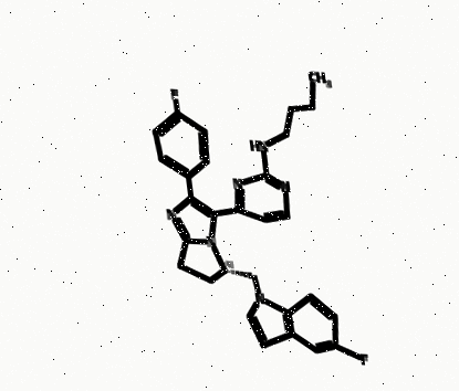 CCCCNc1nccc(-c2c(-c3ccc(F)cc3)nc3n2[C@H](Cn2ccc4cc(F)ccc42)CC3)n1